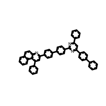 c1ccc(-c2ccc(-c3cc(-c4ccccc4)nc(-c4ccc(-c5ccc(-c6cc(-c7ccccc7)c7c(ccc8ccccc87)n6)cc5)cc4)n3)cc2)cc1